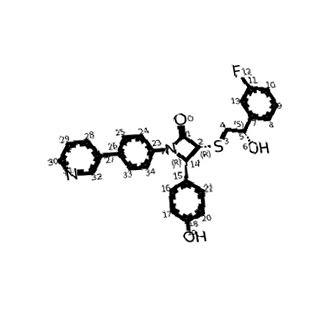 O=C1[C@H](SC[C@@H](O)c2cccc(F)c2)[C@@H](c2ccc(O)cc2)N1c1ccc(-c2cccnc2)cc1